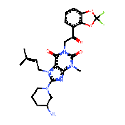 CC(C)=CCn1c(N2CCCC(N)C2)nc2c1c(=O)n(CC(=O)c1cccc3c1OC(F)(F)O3)c(=O)n2C